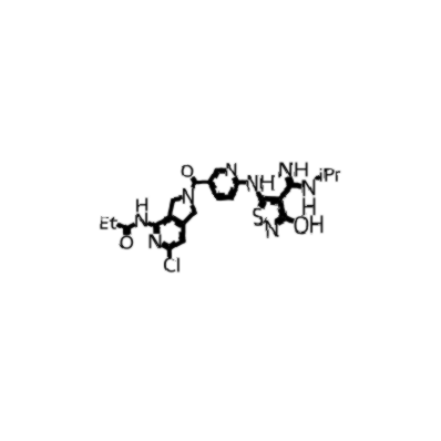 CCC(=O)Nc1nc(Cl)cc2c1CN(C(=O)c1ccc(Nc3snc(O)c3C(=N)NC(C)C)nc1)C2